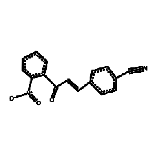 N#Cc1ccc(C=CC(=O)c2ccccc2[N+](=O)[O-])cc1